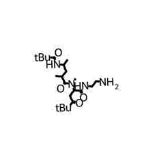 CC(CC(C)C(=O)N(C)C(CC(=O)C(C)(C)C)C(=O)NCCN)NC(=O)C(C)(C)C